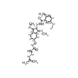 CCn1c(CNC(=O)c2nc(CI)cnc2N)[n+](CC)c2ccc(OCC(=O)NCCN(C)C)cc21